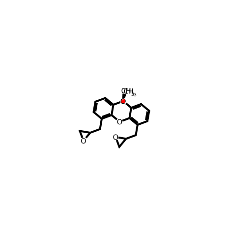 COc1cccc(CC2CO2)c1Oc1c(CC2CO2)cccc1OC